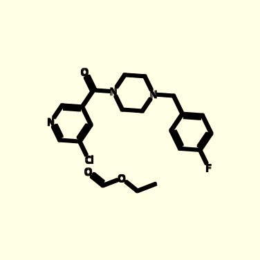 CCOC=O.O=C(c1cncc(Cl)c1)N1CCN(Cc2ccc(F)cc2)CC1